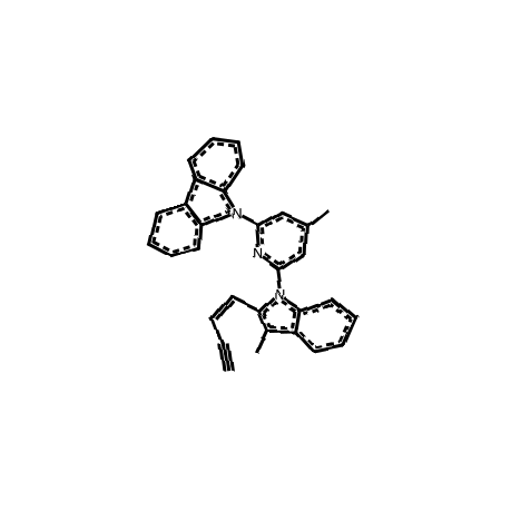 C#C/C=C\c1c(C)c2ccccc2n1-c1cc(C)cc(-n2c3ccccc3c3ccccc32)n1